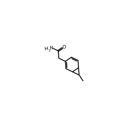 CC1C2C=CC(CC(N)=O)=CC12